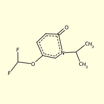 CC(C)n1cc(OC(F)F)ccc1=O